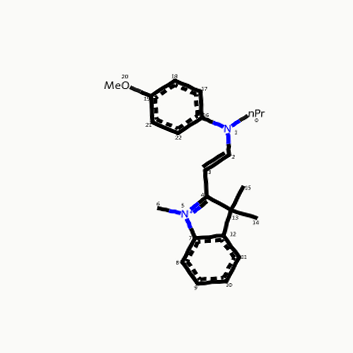 CCCN(C=CC1=[N+](C)c2ccccc2C1(C)C)c1ccc(OC)cc1